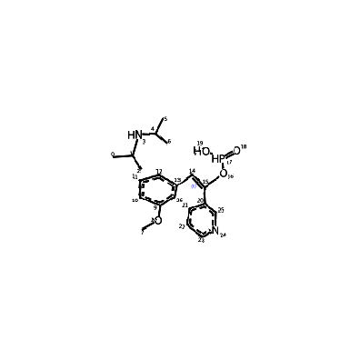 CC(C)NC(C)C.COc1cccc(/C=C(/O[PH](=O)O)c2cccnc2)c1